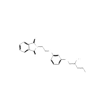 CCCC(O)COc1cccc(OCCN2C(=O)c3ccccc3C2=O)c1